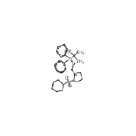 CC(C)(C)[Si](OC[C@H]1CCCN1S(=O)(=O)C1CCCCC1)(c1ccccc1)c1ccccc1